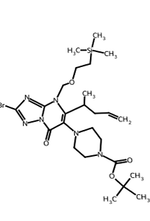 C=CCC(C)c1c(N2CCN(C(=O)OC(C)(C)C)CC2)c(=O)n2nc(Br)nc2n1COCC[Si](C)(C)C